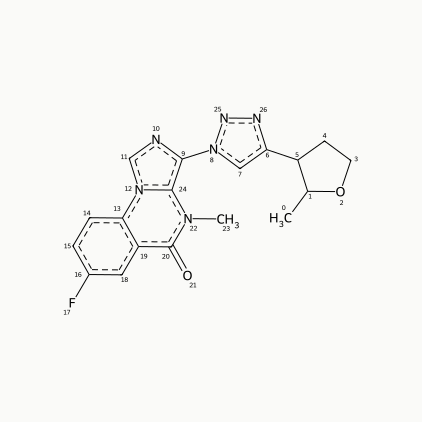 CC1OCCC1c1cn(-c2ncn3c4ccc(F)cc4c(=O)n(C)c23)nn1